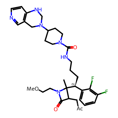 COCCN1C(=O)C(CC(C)=O)C1(C)[C@@H](CCCNC(=O)N1CCC(N2CNc3ccncc3C2)CC1)c1cccc(F)c1F